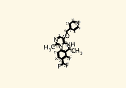 Cc1ncc(OCc2ccncc2)c(N[C@H](C)c2cccc(C(F)F)c2F)n1